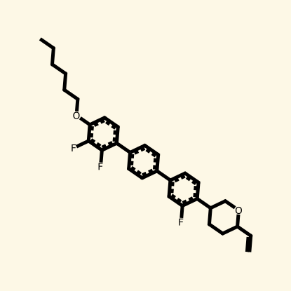 C=CC1CCC(c2ccc(-c3ccc(-c4ccc(OCCCCCC)c(F)c4F)cc3)cc2F)CO1